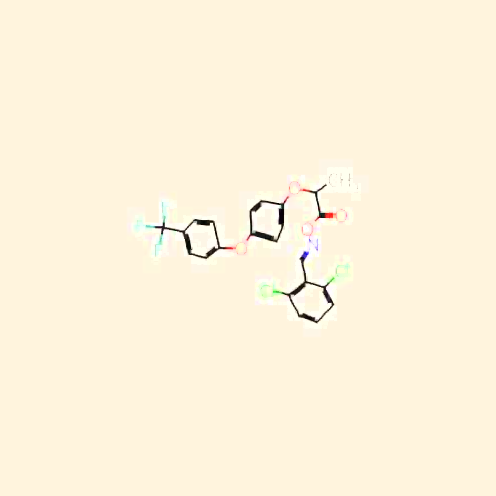 CC(Oc1ccc(Oc2ccc(C(F)(F)F)cc2)cc1)C(=O)ON=Cc1c(Cl)cccc1Cl